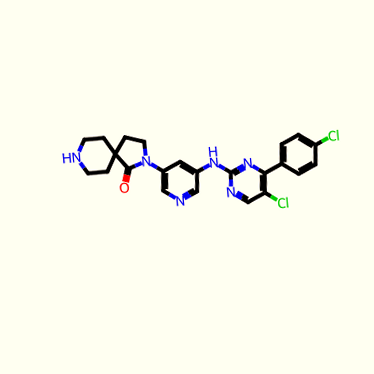 O=C1N(c2cncc(Nc3ncc(Cl)c(-c4ccc(Cl)cc4)n3)c2)CCC12CCNCC2